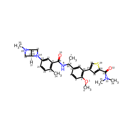 COc1ccc([C@@H](C)NC(=O)c2cc(N3CC4[C@@H]3CN4C)ccc2C)cc1-c1csc(C(=O)N(C)C)c1